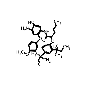 CCCCC(Oc1ccc(C(C)(C)CC)cc1C(C)(C)CC)C(=O)Nc1cc(O)c(N)cc1Oc1ccc(OC)cc1